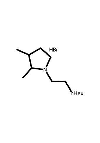 Br.CCCCCCCCN1CCC(C)C1C